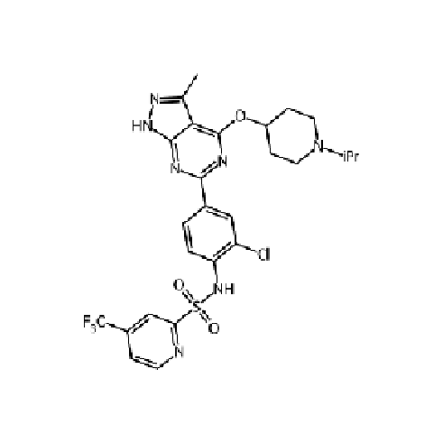 Cc1n[nH]c2nc(-c3ccc(NS(=O)(=O)c4cc(C(F)(F)F)ccn4)c(Cl)c3)nc(OC3CCN(C(C)C)CC3)c12